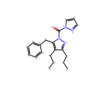 CCCc1nn(C(=O)n2cccn2)c(Cc2ccccc2)c1CCC